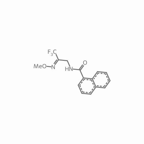 CON=C(CNC(=O)c1cccc2ccccc12)C(F)(F)F